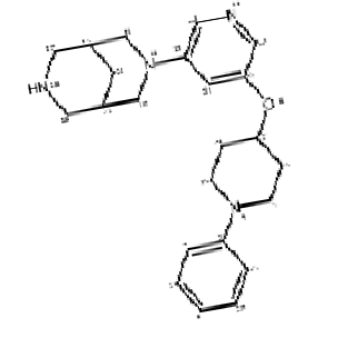 c1ccc(N2CCC(Oc3cncc(N4CC5CNCC(C5)C4)c3)CC2)cc1